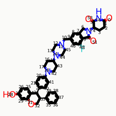 O=C1CCC(N2Cc3cc(CN4CCN(C5CCN(c6ccc([C@@H]7c8ccc(O)cc8OC[C@@H]7c7ccccc7)cc6)CC5)CC4)cc(F)c3C2=O)C(=O)N1